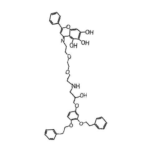 Oc1cc2oc(-c3ccccc3)c/c(=N/CCOCCOCCNCC(O)COc3ccc(OCCc4ccccc4)c(OCCc4ccccc4)c3)c2c(O)c1O